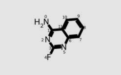 Nc1nc(F)nc2ccccc12